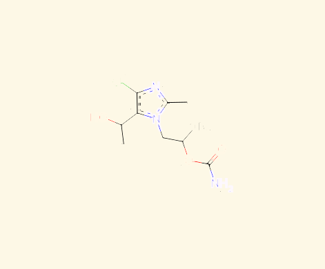 Cc1nc(Cl)c(C(C)O)n1CC(OC(N)=O)C(C)(C)C